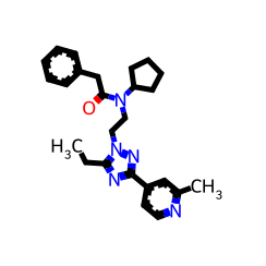 CCc1nc(-c2ccnc(C)c2)nn1CCN(C(=O)Cc1ccccc1)C1CCCC1